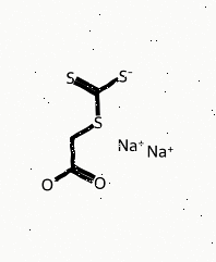 O=C([O-])CSC(=S)[S-].[Na+].[Na+]